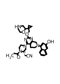 C=CC(=O)N1CCN(c2nc(OCC3(C4CNCCO4)CC3)nc3c2CCN(c2cc(O)cc4ccccc24)C3)C[C@@H]1CC#N